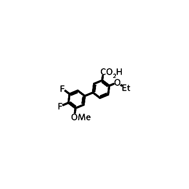 CCOc1ccc(-c2cc(F)c(F)c(OC)c2)cc1C(=O)O